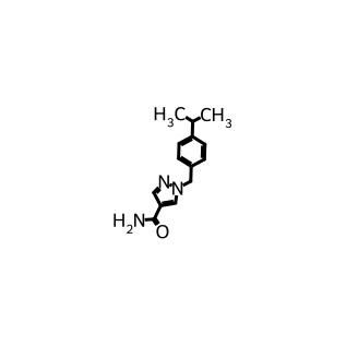 CC(C)c1ccc(Cn2cc(C(N)=O)cn2)cc1